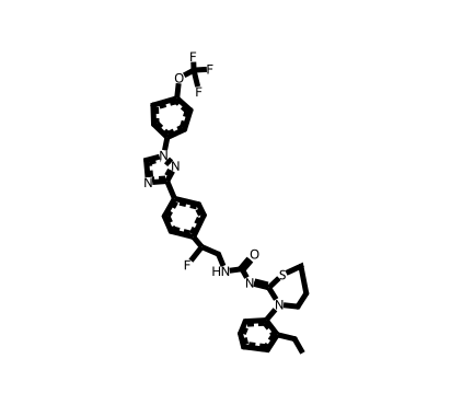 CCc1ccccc1N1CCCS/C1=N\C(=O)NCC(F)c1ccc(-c2ncn(-c3ccc(OC(F)(F)F)cc3)n2)cc1